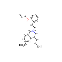 C=CCOc1ccccc1CCN(CCCCC(=O)O)Cc1ccc(C(=O)O)cc1